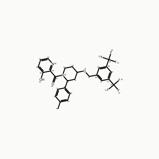 Cc1ccc(C2CC(OCc3cc(C(F)(F)F)cc(C(F)(F)F)c3)CCN2C(=O)c2ncccc2O)cc1